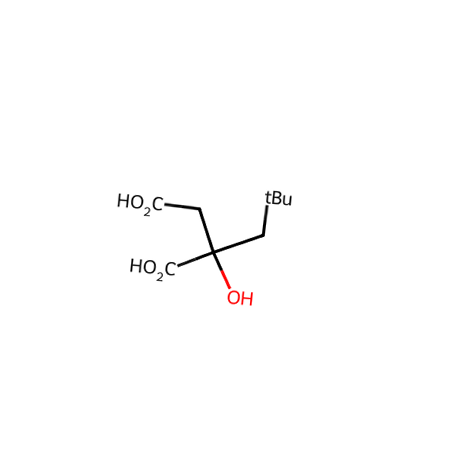 CC(C)(C)CC(O)(CC(=O)O)C(=O)O